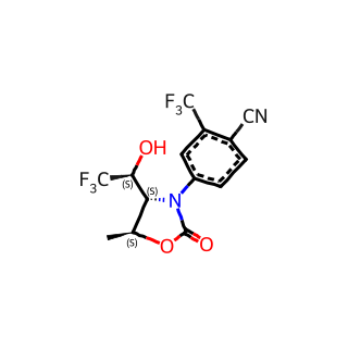 C[C@@H]1OC(=O)N(c2ccc(C#N)c(C(F)(F)F)c2)[C@H]1[C@H](O)C(F)(F)F